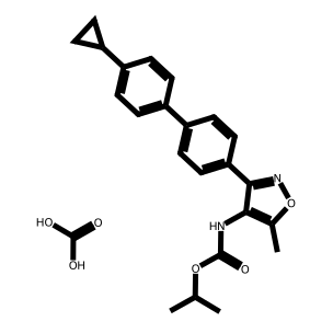 Cc1onc(-c2ccc(-c3ccc(C4CC4)cc3)cc2)c1NC(=O)OC(C)C.O=C(O)O